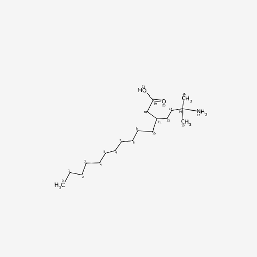 CCCCCCCCCCCC(CCC(C)(C)N)CC(=O)O